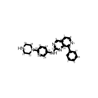 c1ccc(-c2nccc3cnc(Nc4ccc(N5CCNCC5)nc4)nc23)cc1